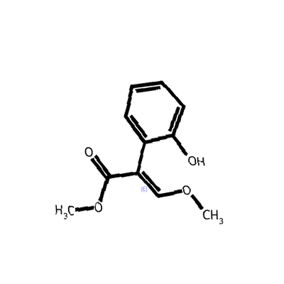 CO/C=C(/C(=O)OC)c1ccccc1O